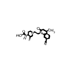 Cc1cc(=O)n(CCN2CCC(NC(=O)O)C(F)C2)c2cc(C#N)ccc12